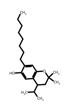 CCCCCCCCc1cc2c(cc1O)C(C(C)C)CC(C)(C)O2